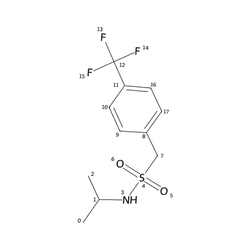 CC(C)NS(=O)(=O)Cc1ccc(C(F)(F)F)cc1